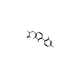 CCCC1Cc2ccc(-c3ccc(C)cc3F)c(F)c2OC1=O